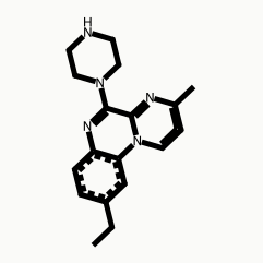 CCc1ccc2c(c1)N1C=C=C(C)N=C1C(N1CCNCC1)=N2